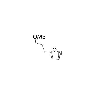 [CH2]OCCCc1ccno1